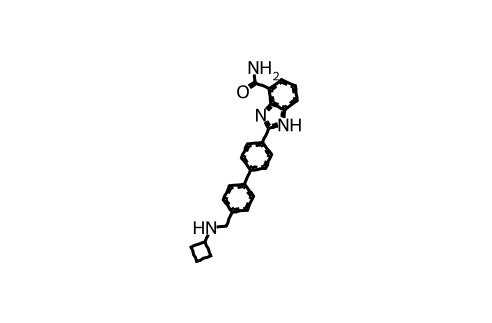 NC(=O)c1cccc2[nH]c(-c3ccc(-c4ccc(CNC5CCC5)cc4)cc3)nc12